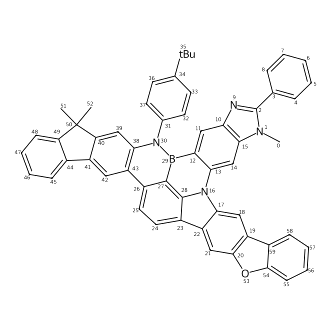 Cn1c(-c2ccccc2)nc2cc3c(cc21)-n1c2cc4c(cc2c2ccc5c(c21)B3N(c1ccc(C(C)(C)C)cc1)c1cc2c(cc1-5)-c1ccccc1C2(C)C)oc1ccccc14